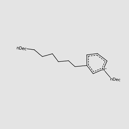 CCCCCCCCCCCCCCCCc1ccc[n+](CCCCCCCCCC)c1